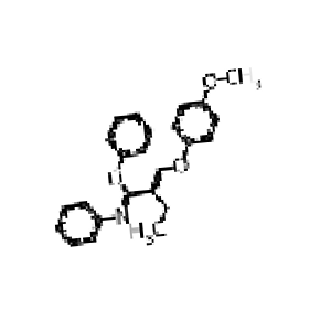 CCC(=C\Oc1ccc(OC)cc1)/C(=N/c1ccccc1)Oc1ccccc1